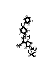 CC(C)(C)OC(=O)N1CCC(/C(C#N)=N\Nc2ccc(Oc3ccccc3)cc2)C1